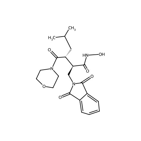 CC(C)C[C@@H](C(=O)N1CCOCC1)[C@H](CN1C(=O)c2ccccc2C1=O)C(=O)NO